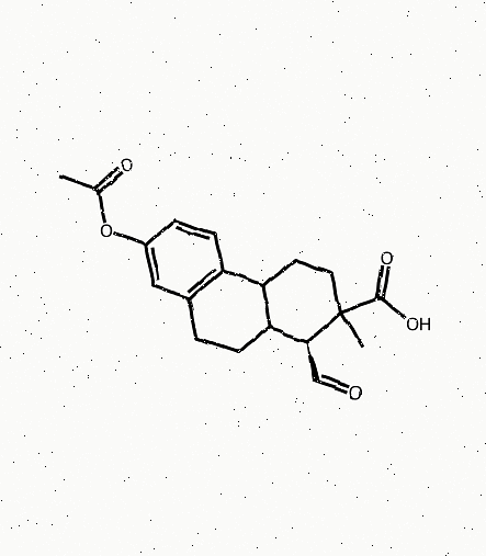 CC(=O)Oc1ccc2c(c1)CCC1C2CCC(C)(C(=O)O)[C@H]1C=O